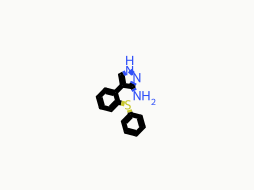 Nc1n[nH]cc1-c1ccccc1Sc1ccccc1